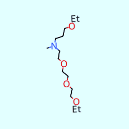 CCOCCCN(C)CCOCCOCCOCC